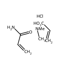 C=CC(=O)O.C=CC(N)=O.CNC.Cl